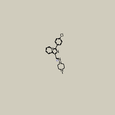 CN1CCN(/N=C/c2nc(-c3ccc(Cl)cc3)n3ccccc23)CC1